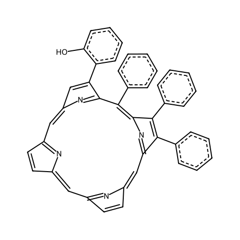 Oc1ccccc1C1=CC2=CC3=NC(=CC4=NC(=CC5=NC(=C(c6ccccc6)C1=N2)C(c1ccccc1)=C5c1ccccc1)C=C4)C=C3